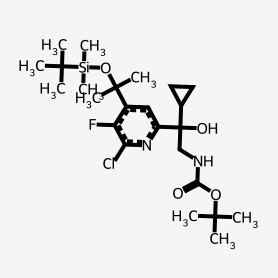 CC(C)(C)OC(=O)NCC(O)(c1cc(C(C)(C)O[Si](C)(C)C(C)(C)C)c(F)c(Cl)n1)C1CC1